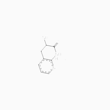 Cl.Cl.NC1Cc2cccnc2NC1=O